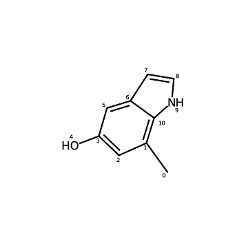 Cc1cc(O)cc2cc[nH]c12